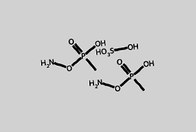 CP(=O)(O)ON.CP(=O)(O)ON.O=S(=O)(O)O